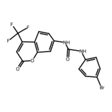 O=C(Nc1ccc(Br)cc1)Nc1ccc2c(C(F)(F)F)cc(=O)oc2c1